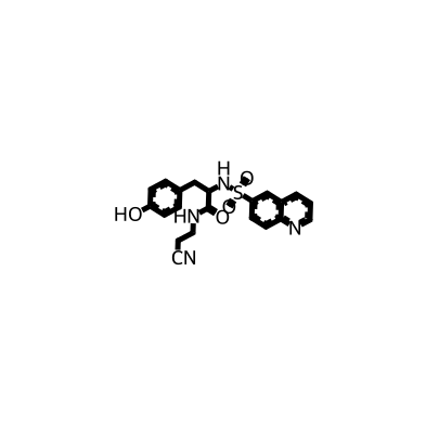 N#CCCNC(=O)C(Cc1ccc(O)cc1)NS(=O)(=O)c1ccc2ncccc2c1